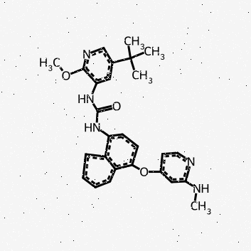 CNc1cc(Oc2ccc(NC(=O)Nc3cc(C(C)(C)C)cnc3OC)c3ccccc23)ccn1